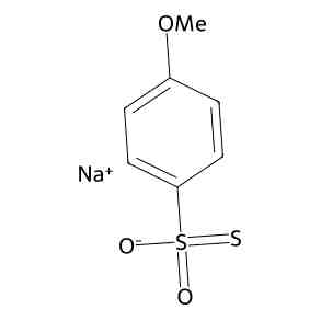 COc1ccc(S(=O)([O-])=S)cc1.[Na+]